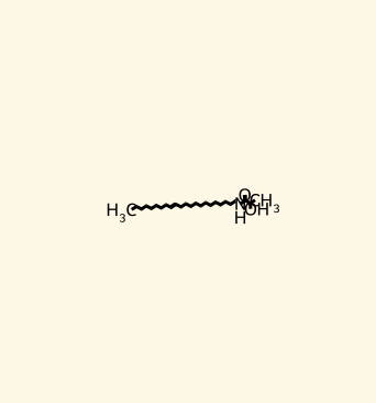 CCCCCCCCC=CCCCCCCCCCCCCNC(=O)C(C)O